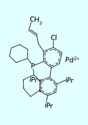 CC=CCc1c(Cl)ccc(-c2c(C(C)C)cc(C(C)C)cc2C(C)C)c1P(C1CCCCC1)C1CCCCC1.[Pd+2]